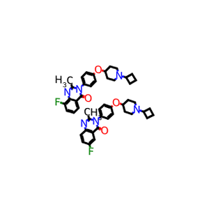 Cc1nc2c(F)cccc2c(=O)n1-c1ccc(OC2CCN(C3CCC3)CC2)cc1.Cc1nc2ccc(F)cc2c(=O)n1-c1ccc(OC2CCN(C3CCC3)CC2)cc1